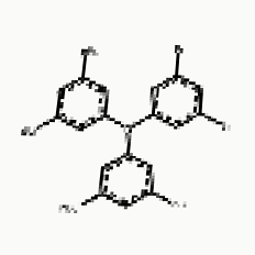 CCCCc1cc(CCCC)cc(N(c2cc(Br)cc(Br)c2)c2cc(CCCC)cc(CCCC)c2)c1